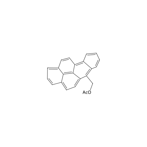 CC(=O)OCc1c2ccccc2c2ccc3cccc4ccc1c2c43